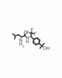 CC(C)C[C@H](N)C(=O)N[C@@H](c1ccc(C(C)(C)O)cc1)C(F)(F)F